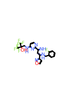 N=C(/C=C(\NCc1ccccc1F)c1ccon1)c1nccc(NCC(O)(C(F)(F)F)C(F)(F)F)n1